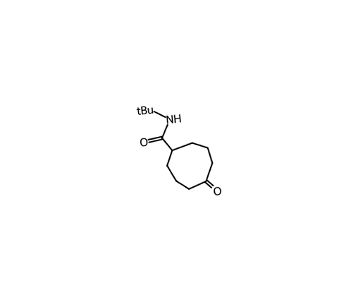 CC(C)(C)NC(=O)C1CCCC(=O)CCC1